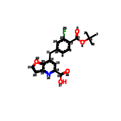 CC(C)(C)OC(=O)c1ccc(Cc2cc(C(=O)O)nc3ccoc23)cc1F